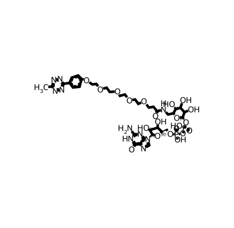 Cc1nnc(-c2ccc(OCCOCCOCCOCCOCCC(=O)NCC3O[C@H](OP(=O)(O)OP(=O)(O)OC[C@H]4O[C@@H](n5cnc6c(=O)[nH]c(N)nc65)[C@@H](O)C4O)C(O)C(O)[C@@H]3O)cc2)nn1